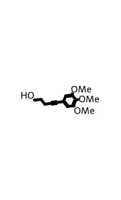 COc1cc(C#CCCCO)cc(OC)c1OC